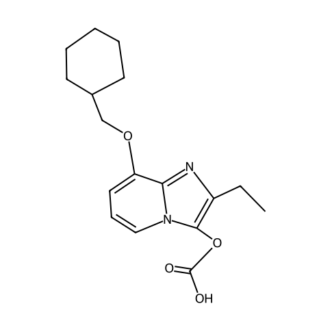 CCc1nc2c(OCC3CCCCC3)cccn2c1OC(=O)O